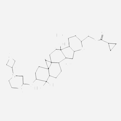 C[C@@H]1CC(COC(=O)C2CC2)OC2C[C@@]3(C)C4CCC5C(C)(C)C(OC6CN(C7COC7)CCO6)CCC56CC46CCC3(C)C21